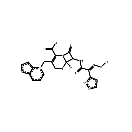 CON=C(C(=O)NC1C(=O)N2C(C(=O)[O-])=C(C[n+]3cccc4sccc43)CS[C@@H]12)c1ccn[nH]1